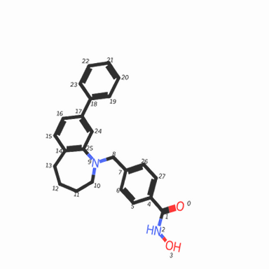 O=C(NO)c1ccc(CN2CCCCc3ccc(-c4ccccc4)cc32)cc1